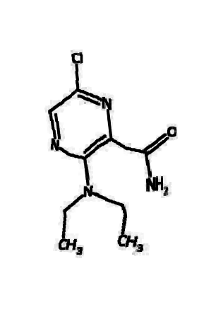 CCN(CC)c1ncc(Cl)nc1C(N)=O